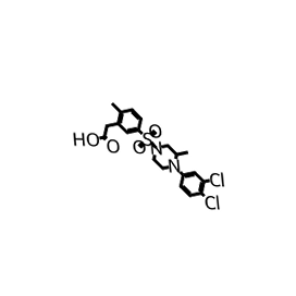 Cc1ccc(S(=O)(=O)N2CCN(c3ccc(Cl)c(Cl)c3)C(C)C2)cc1CC(=O)O